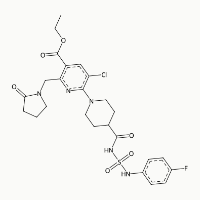 CCOC(=O)c1cc(Cl)c(N2CCC(C(=O)NS(=O)(=O)Nc3ccc(F)cc3)CC2)nc1CN1CCCC1=O